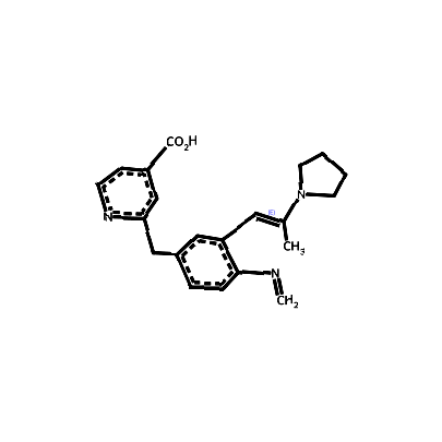 C=Nc1ccc(Cc2cc(C(=O)O)ccn2)cc1/C=C(\C)N1CCCC1